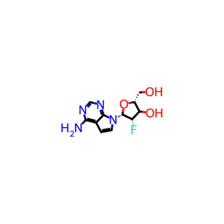 Nc1ncnc2c1ccn2[C@@H]1O[C@H](CO)C(O)[C@@H]1F